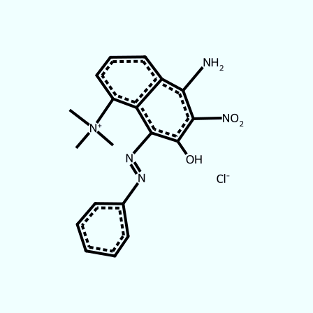 C[N+](C)(C)c1cccc2c(N)c([N+](=O)[O-])c(O)c(N=Nc3ccccc3)c12.[Cl-]